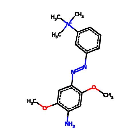 COc1cc(N=Nc2cccc([N+](C)(C)C)c2)c(OC)cc1N